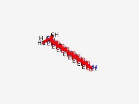 C#CCCCC(=O)N(C)CCN(CCN(CCN(CCN(CCN(CCN(CCN(CCCCN(CCN(CCN(CCN(CCN(CCN(CCN(CCN(CCN(CCNC(=O)CC)C(=O)CC)C(=O)CC)C(=O)CC)C(=O)CC)C(=O)CC)C(=O)CC)C(=O)CC)C(=O)CC)C(=O)CC)C(=O)CC)C(=O)CC)C(=O)CC)C(=O)CC)C(=O)CC)C(=O)CC)C(=O)CCCC#C